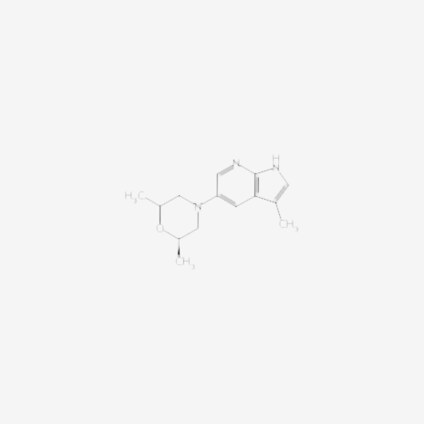 Cc1c[nH]c2ncc(N3CC(C)O[C@H](C)C3)cc12